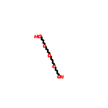 OCCCCCOCCCCCOCCCCCOCCCCCO